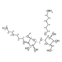 CO[C@H]1O[C@H](CO[C@H]2O[C@H](CO)[C@@H](O)[C@H](O)[C@H]2OCCCSCCN)[C@@H](O)[C@H](O)[C@H]1OCCCSCCN